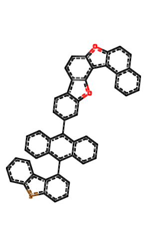 c1ccc2c(c1)ccc1oc3ccc4c5ccc(-c6c7ccccc7c(-c7cccc8sc9ccccc9c78)c7ccccc67)cc5oc4c3c12